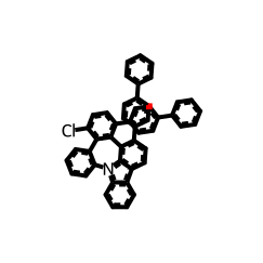 Clc1ccc(-c2ccc(-c3ccccc3)cc2)c2c1-c1ccccc1-n1c3ccccc3c3ccc(-c4ccc(-c5ccccc5)cc4)c-2c31